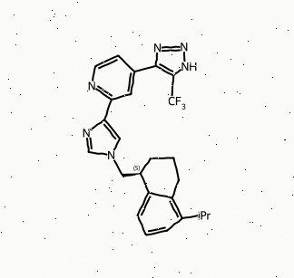 CC(C)c1cccc2c1CCC[C@@H]2Cn1cnc(-c2cc(-c3nn[nH]c3C(F)(F)F)ccn2)c1